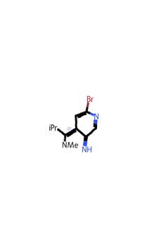 CN/C(=C1/C=C(Br)N=CC1=N)C(C)C